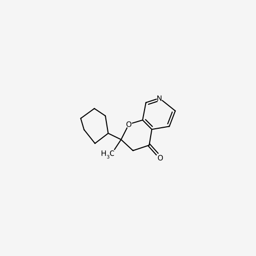 CC1(C2CCCCC2)CC(=O)c2ccncc2O1